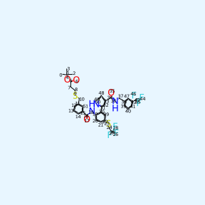 CC(C)(C)OC(=O)CCSCc1cccc(C(=O)Nc2ccc(SCC(F)(F)F)cc2-c2cc(C(=O)NCc3cccc(C(F)(F)F)c3)ccn2)c1